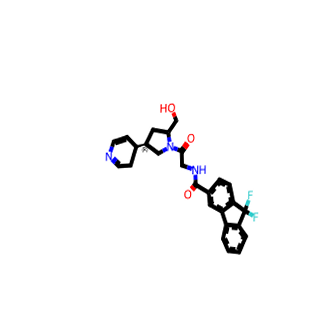 O=C(NCC(=O)N1C[C@@H](C2C=CN=CC2)CC1CO)c1ccc2c(c1)-c1ccccc1C2(F)F